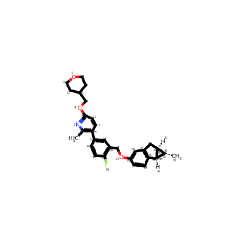 Cc1nc(OCC2CCOCC2)ccc1-c1ccc(F)c(COc2ccc3c(c2)C[C@H]2[C@H](C)[C@@H]32)c1